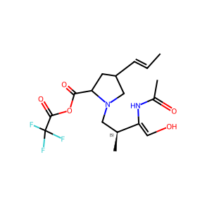 CC=CC1CC(C(=O)OC(=O)C(F)(F)F)N(C[C@H](C)C(=CO)NC(C)=O)C1